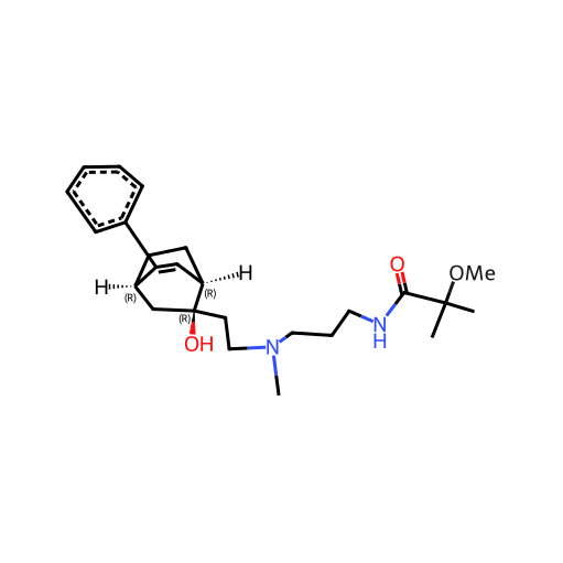 COC(C)(C)C(=O)NCCCN(C)CC[C@]1(O)C[C@H]2CC[C@@H]1C=C2c1ccccc1